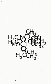 CC(C)c1nc2c(c(I)c1C(O)c1ccc(C(C)(C)C)cc1)[C@@H](O[Si](C)(C)C(C)(C)C)CC(C)(C)C2